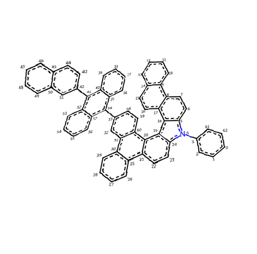 c1ccc(-n2c3ccc4c5ccccc5ccc4c3c3c4c(ccc32)c2ccccc2c2cc(-c3c5ccccc5c(-c5ccc6ccccc6c5)c5ccccc35)ccc24)cc1